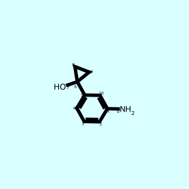 Nc1cccc(C2(O)CC2)c1